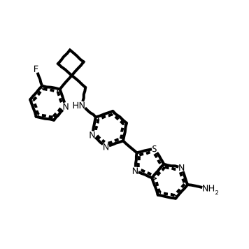 Nc1ccc2nc(-c3ccc(NCC4(c5ncccc5F)CCC4)nn3)sc2n1